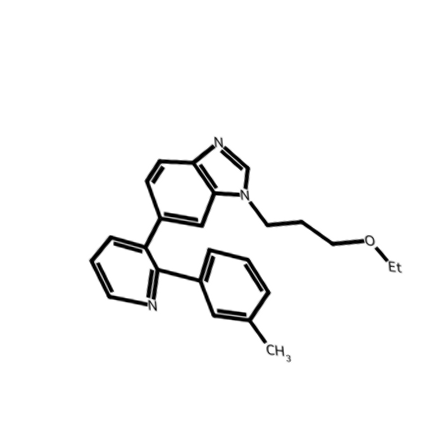 CCOCCCn1cnc2ccc(-c3cccnc3-c3cccc(C)c3)cc21